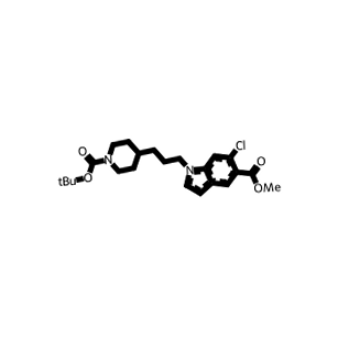 COC(=O)c1cc2ccn(CCCC3CCN(C(=O)OC(C)(C)C)CC3)c2cc1Cl